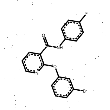 O=C(Nc1ccc(F)cc1)c1cccnc1Oc1cccc(Br)c1